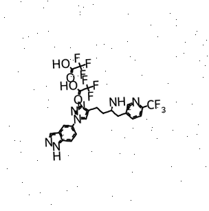 N[C@H](CCc1cn(-c2ccc3[nH]ncc3c2)nn1)Cc1ccc(C(F)(F)F)nc1.O=C(O)C(F)(F)F.O=C(O)C(F)(F)F